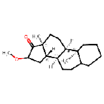 COC1C[C@H]2[C@@H]3CCC4CCCC[C@]4(C)[C@@H]3CC[C@]2(C)C1=O